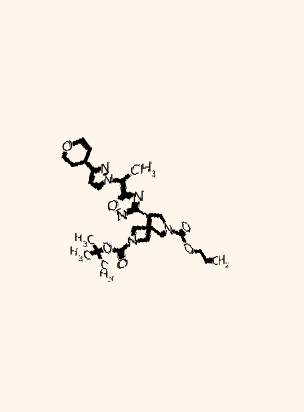 C=CCOC(=O)N1C[C@H](c2noc(C(C)n3ccc(C4CCOCC4)n3)n2)C2(C1)CN(C(=O)OC(C)(C)C)C2